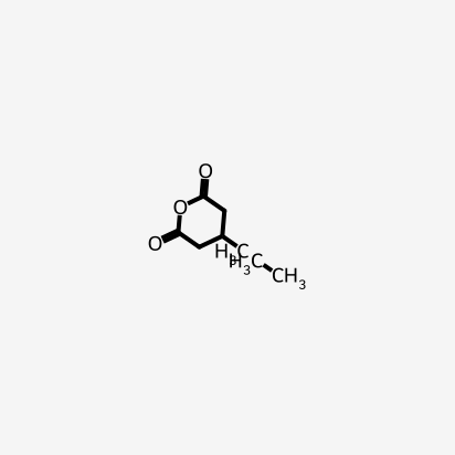 CC.CC1CC(=O)OC(=O)C1